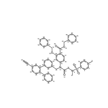 Cc1ccc(S(=O)(=O)N(C)CC(=O)N(Cc2cccc(-c3cc(C#N)ccc3-c3ccccc3)c2)c2ccc(C(=O)OCc3ccccc3)c(OCc3ccccc3)c2)cc1